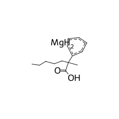 CCCCCC(C)(C(=O)O)c1ccccc1.[MgH2]